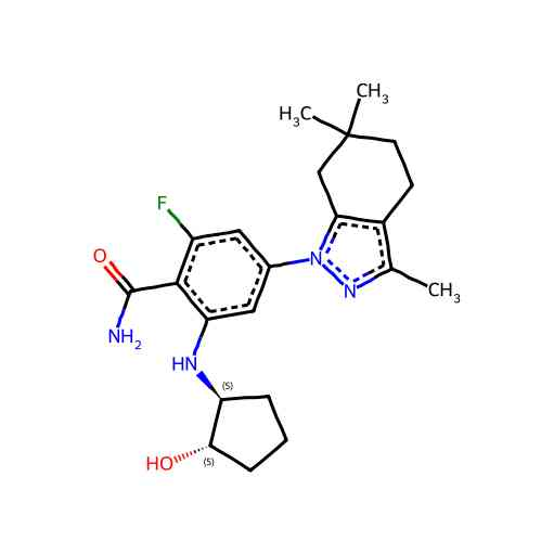 Cc1nn(-c2cc(F)c(C(N)=O)c(N[C@H]3CCC[C@@H]3O)c2)c2c1CCC(C)(C)C2